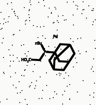 CCCCP(CC(=O)O)C12CC3CC(CC(C3)C1)C2.[Pd]